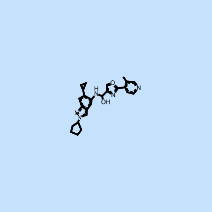 Cc1cnccc1-c1nc(C(O)Nc2cc3cn(C4CCCC4)nc3cc2C2CC2)co1